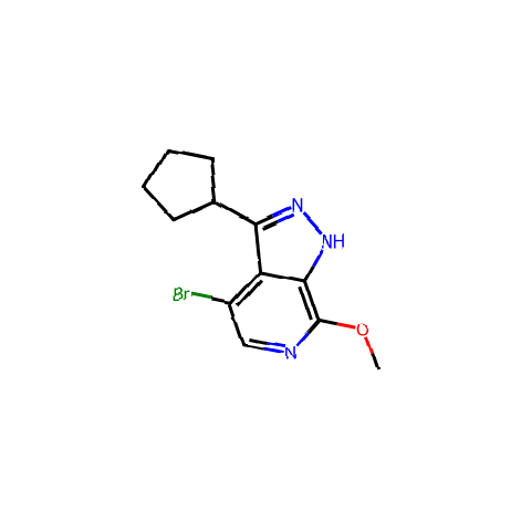 COc1ncc(Br)c2c(C3CCCC3)n[nH]c12